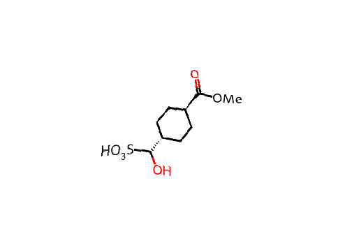 COC(=O)[C@H]1CC[C@H](C(O)S(=O)(=O)O)CC1